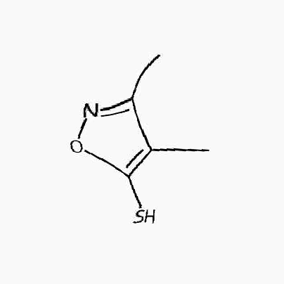 Cc1noc(S)c1C